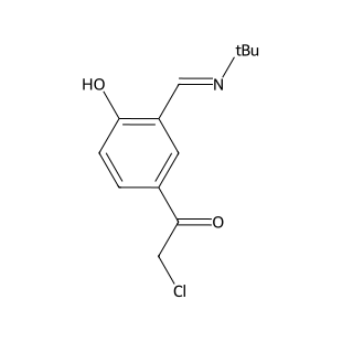 CC(C)(C)/N=C/c1cc(C(=O)CCl)ccc1O